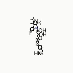 CNC(C)Cc1ccc(OCOC(=O)C[C@H](O)C[C@H](O)/C=C/c2c(C(C)C)nc(C(C)C)c(C)c2-c2ccc(F)cc2)cc1